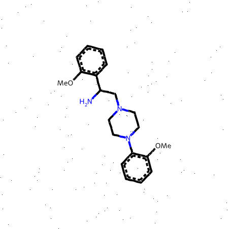 COc1ccccc1C(N)CN1CCN(c2ccccc2OC)CC1